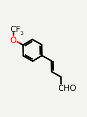 O=CCC=Cc1ccc(OC(F)(F)F)cc1